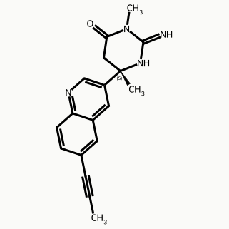 CC#Cc1ccc2ncc([C@]3(C)CC(=O)N(C)C(=N)N3)cc2c1